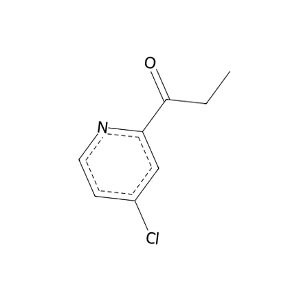 CCC(=O)c1cc(Cl)ccn1